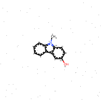 Cn1c2ccccc2c2cc(O)ccc21